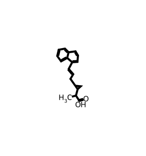 CC(C(=O)O)C1CC1CC=Cc1cccc2ccccc12